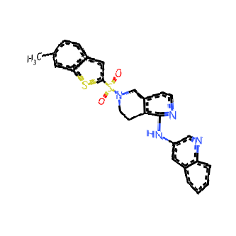 Cc1ccc2cc(S(=O)(=O)N3CCc4c(ccnc4Nc4cnc5ccccc5c4)C3)sc2c1